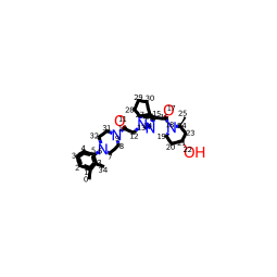 Cc1cccc(N2CCN(C(=O)Cn3nc(C(=O)N4CC[C@@H](O)C[C@@H]4C)c4c3CCC4)CC2)c1C